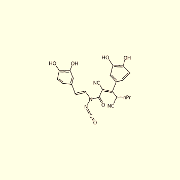 CCCC(C#N)C(=C(C#N)C(=O)N(C=Cc1ccc(O)c(O)c1)N=C=O)c1ccc(O)c(O)c1